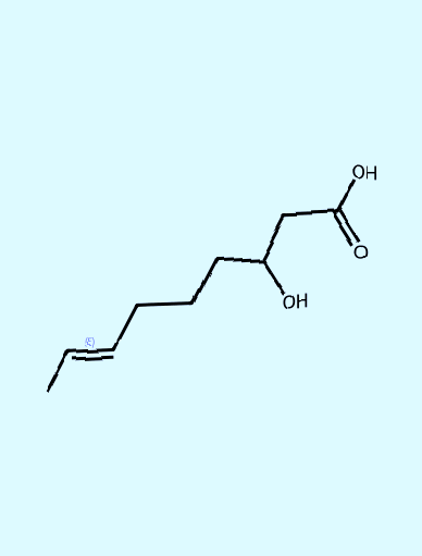 C/C=C/CCCC(O)CC(=O)O